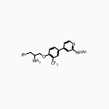 CC(=O)Nc1cc(-c2ccc(OCC(N)CC(C)C)c(C(F)(F)F)c2)ccn1